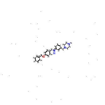 CN1CCN(Cc2cccc(NCc3ccc(OCc4ccccc4)cc3)c2)CC1